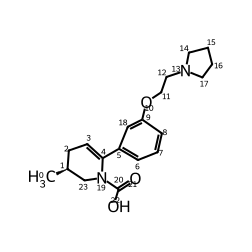 C[C@H]1CC=C(c2cccc(OCCN3CCCC3)c2)N(C(=O)O)C1